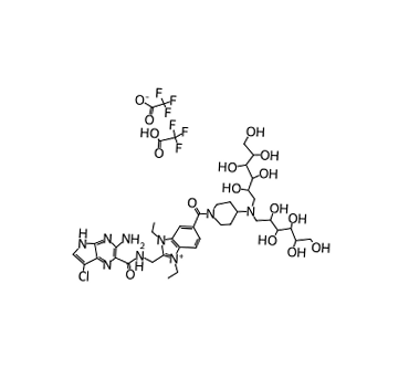 CCn1c(CNC(=O)c2nc3c(Cl)c[nH]c3nc2N)[n+](CC)c2ccc(C(=O)N3CCC(N(CC(O)C(O)C(O)C(O)CO)CC(O)C(O)C(O)C(O)CO)CC3)cc21.O=C(O)C(F)(F)F.O=C([O-])C(F)(F)F